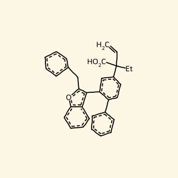 C=CC(CC)(C(=O)O)c1ccc(-c2ccccc2)c(-c2c(Cc3ccccc3)oc3ccccc23)c1